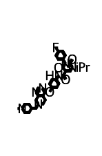 CC(C)n1cc(C(=O)Nc2ccc(Oc3ncnc4c3CCN(CC3CCN(C)CC3)C4)cc2)c(=O)n(-c2ccc(F)cc2)c1=O